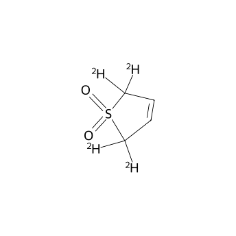 [2H]C1([2H])C=CC([2H])([2H])S1(=O)=O